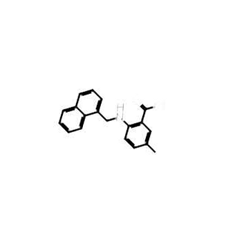 Cc1ccc(NCc2cccc3ccccc23)c(C(=O)O)c1